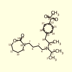 CC(C)N(CCCCN1CCCCOC1=O)C(C)Cc1ccc(S(C)(=O)=O)cc1